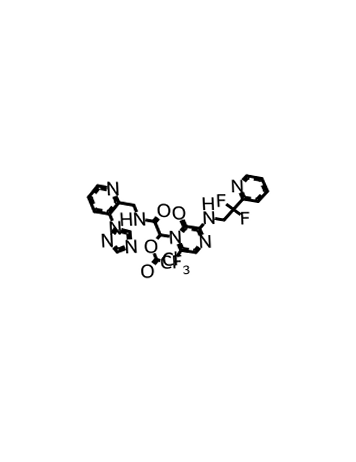 O=C(NCc1ncccc1-n1cncn1)C(OC(=O)C(F)(F)F)n1c(Cl)cnc(NCC(F)(F)c2ccccn2)c1=O